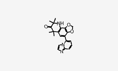 CC1(C)Nc2c(cc(-c3cccc4nccn34)c3c2OCO3)C(C)(C)C1=O